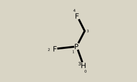 [3H]P(F)CF